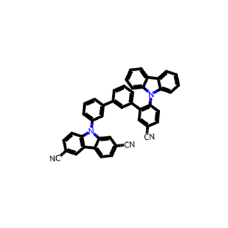 N#Cc1ccc(-n2c3ccccc3c3ccccc32)c(-c2cccc(-c3cccc(-n4c5ccc(C#N)cc5c5ccc(C#N)cc54)c3)c2)c1